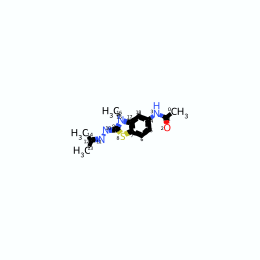 CC(=O)Nc1ccc2s/c(=N\N=C(C)C)n(C)c2c1